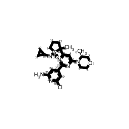 C[C@@H]1COCCN1c1cc(C2(C)CCCS2(=O)=NC2CC2)nc(-c2cc(N)nc(Cl)c2)n1